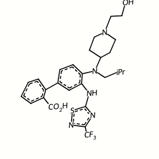 CC(C)CN(c1ccc(-c2ccccc2C(=O)O)cc1Nc1nc(C(F)(F)F)ns1)C1CCN(CCO)CC1